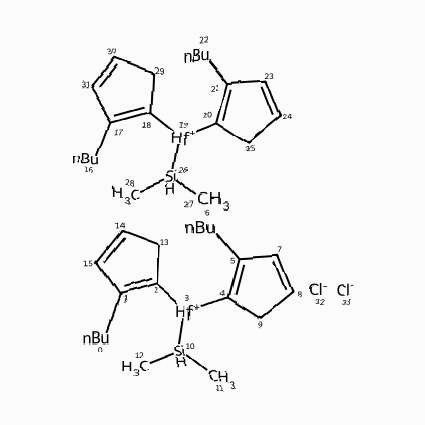 CCCCC1=[C]([Hf+]([C]2=C(CCCC)C=CC2)[SiH](C)C)CC=C1.CCCCC1=[C]([Hf+]([C]2=C(CCCC)C=CC2)[SiH](C)C)CC=C1.[Cl-].[Cl-]